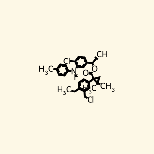 C#CC(OC(=O)C1(c2ccc(CC)c(CCl)c2)CC1(C)C)c1ccc(Cl)c(N(F)c2ccc(C)cc2)c1